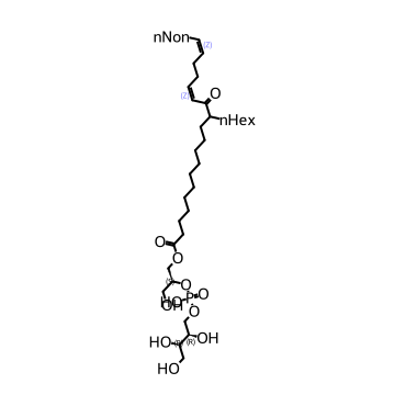 CCCCCCCCC/C=C\CC/C=C\C(=O)C(CCCCCC)CCCCCCCCCCC(=O)OC[C@H](CO)OP(=O)(O)OC[C@@H](O)[C@H](O)CO